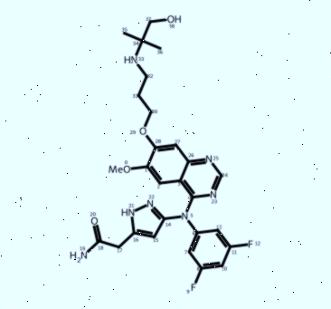 COc1cc2c(N(c3cc(F)cc(F)c3)c3cc(CC(N)=O)[nH]n3)ncnc2cc1OCCCNC(C)(C)CO